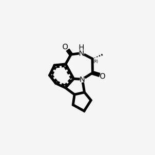 C[C@H]1NC(=O)c2cccc3c2N(C1=O)C1CCCC31